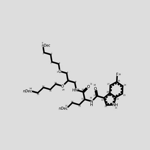 CCCCCCCCCCCCCCOCC(CNC(=O)C(CCCCCCCCCCCC)NC(=O)c1c[nH]c2ccc(F)cc12)OCCCCCCCCCCCCCC